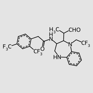 CC(C=O)C1C(NC(=O)Cc2ccc(C(F)(F)F)cc2C(F)(F)F)CNc2ccccc2N1CC(F)(F)F